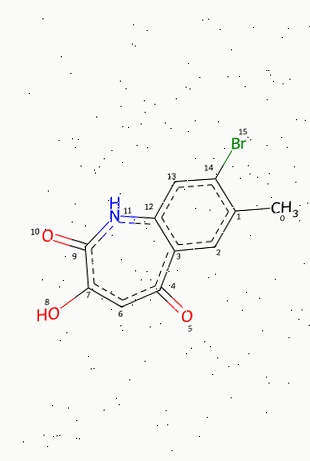 Cc1cc2c(=O)cc(O)c(=O)[nH]c2cc1Br